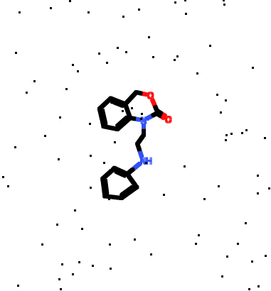 O=C1OCc2ccccc2N1CCNc1ccccc1